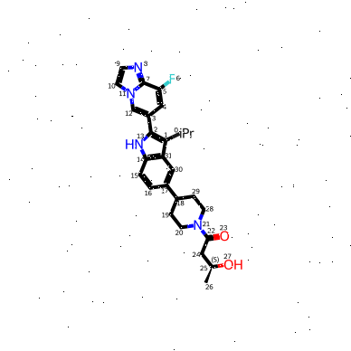 CC(C)c1c(-c2cc(F)c3nccn3c2)[nH]c2ccc(C3CCN(C(=O)C[C@H](C)O)CC3)cc12